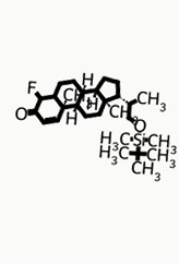 CC(CO[Si](C)(C)C(C)(C)C)[C@H]1CC[C@H]2[C@@H]3CCC4C(F)C(=O)C=C[C@]4(C)[C@H]3CC[C@]12C